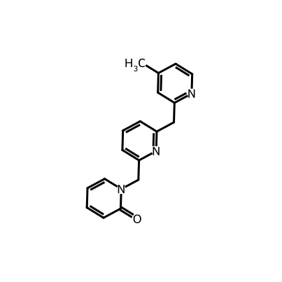 Cc1ccnc(Cc2cccc(Cn3ccccc3=O)n2)c1